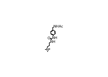 CC(=O)NCc1ccc(NC(=O)NCCC[N+](C)(C)C)cc1